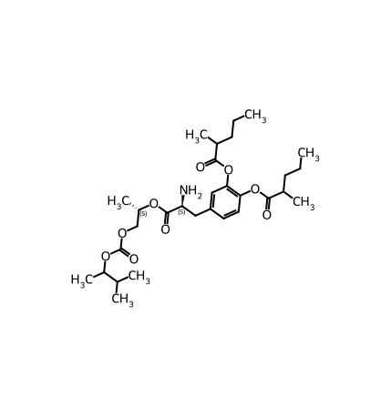 CCCC(C)C(=O)Oc1ccc(C[C@H](N)C(=O)O[C@@H](C)COC(=O)OC(C)C(C)C)cc1OC(=O)C(C)CCC